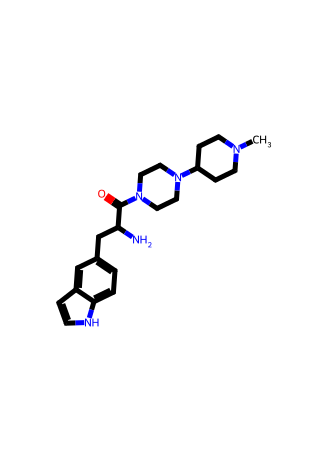 CN1CCC(N2CCN(C(=O)C(N)Cc3ccc4[nH]ccc4c3)CC2)CC1